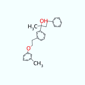 Cc1cccc(OCCc2cccc(C(C)(O)CCc3ccccc3)c2)c1